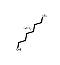 CCCCCCCCCCO.[GaH3]